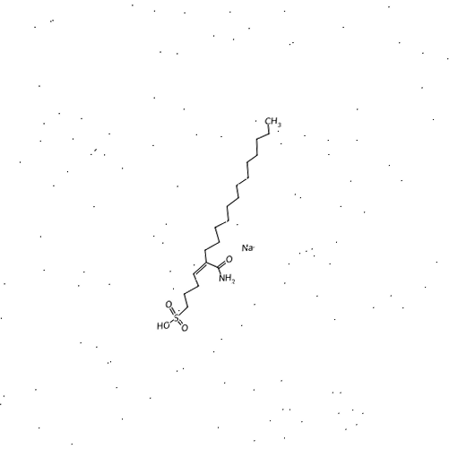 CCCCCCCCCCCCCC(=CCCCS(=O)(=O)O)C(N)=O.[Na]